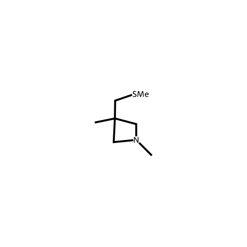 CSCC1(C)CN(C)C1